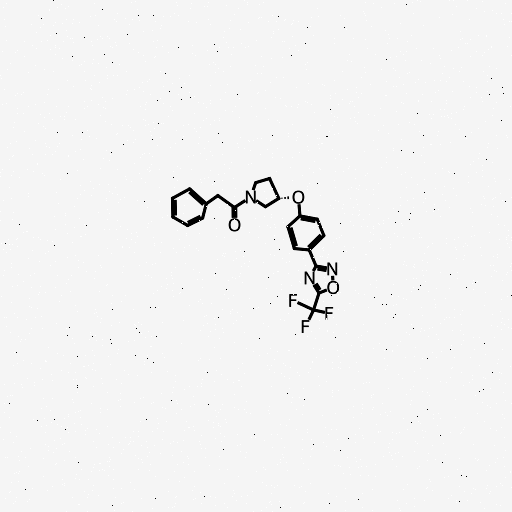 O=C(Cc1ccccc1)N1CC[C@H](Oc2ccc(-c3noc(C(F)(F)F)n3)cc2)C1